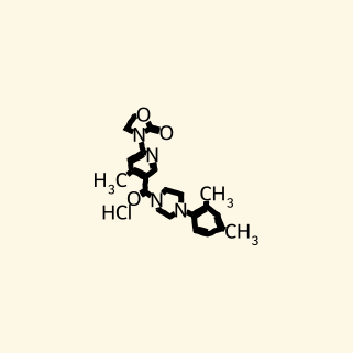 Cc1ccc(N2CCN(C(=O)c3cnc(N4CCOC4=O)cc3C)CC2)c(C)c1.Cl